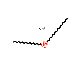 CCCCCCCCCCCCCCCCOP(=O)([O-])OCCCCCCCCCCCCCCCC.[Na+]